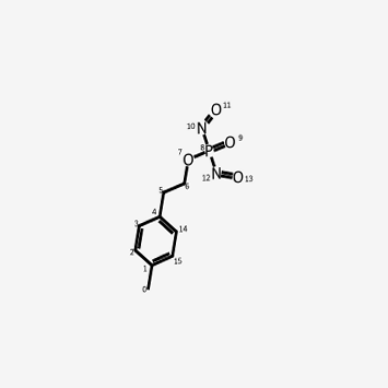 Cc1ccc(CCOP(=O)(N=O)N=O)cc1